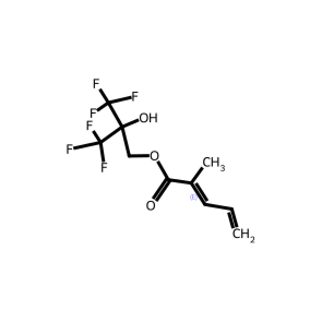 C=C/C=C(\C)C(=O)OCC(O)(C(F)(F)F)C(F)(F)F